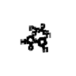 CCC(=O)OC(C)C.O=C1CNC(=O)N1c1cc(Cl)cc(Cl)c1